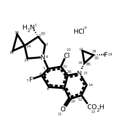 Cl.N[C@@H]1CN(c2c(F)cc3c(=O)c(C(=O)O)cn([C@@H]4C[C@@H]4F)c3c2Cl)CC12CC2